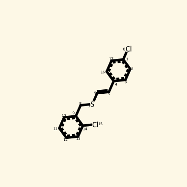 Clc1ccc(C=CSCc2ccccc2Cl)cc1